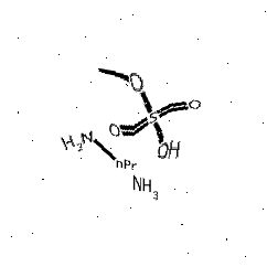 CCCN.COS(=O)(=O)O.N